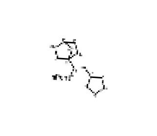 CCCCCC(CC1CCCC1)C12CCC(CC1)C2